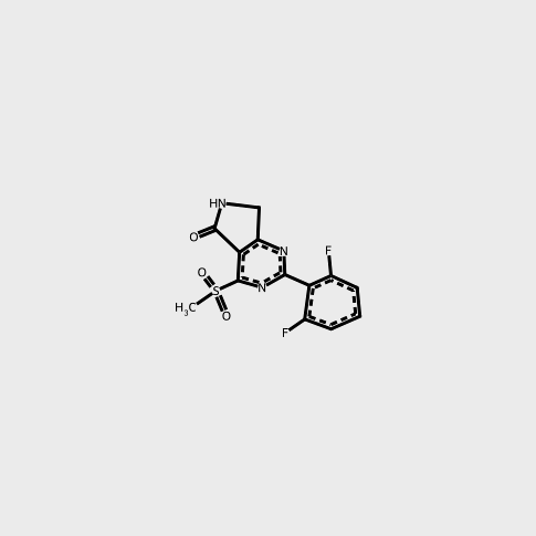 CS(=O)(=O)c1nc(-c2c(F)cccc2F)nc2c1C(=O)NC2